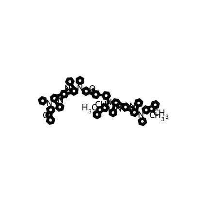 CC1(C)c2ccccc2-c2ccc(N(c3ccccc3)c3ccc4c5cc6c(cc5n5c7ccccc7c3c45)c3ccc(N(c4cccc(-c5ccc7c(c5)oc5cc(N(c8ccccc8)c8ccc9c%10cc%11c(cc%10n%10c%12ccccc%12c8c9%10)c8ccc(N(c9ccccc9)c9ccc%10c(c9)oc9ccccc9%10)c9c%10ccccc%10n%11c89)ccc57)c4)c4ccc5c(c4)C(C)(C)c4ccccc4-5)c4c5ccccc5n6c34)cc21